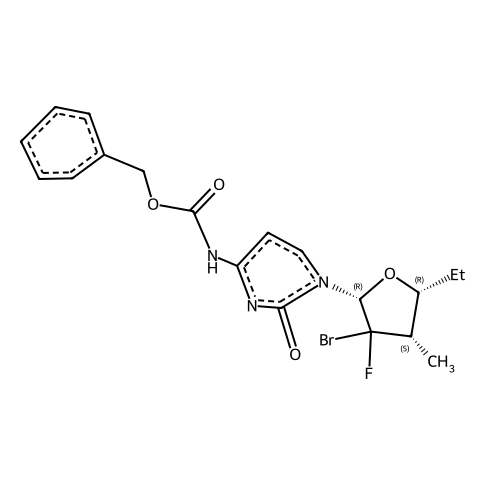 CC[C@H]1O[C@@H](n2ccc(NC(=O)OCc3ccccc3)nc2=O)C(F)(Br)[C@H]1C